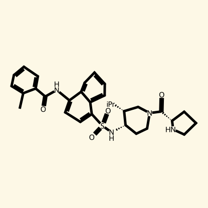 Cc1ccccc1C(=O)Nc1ccc(S(=O)(=O)N[C@H]2CCN(C(=O)[C@@H]3CCCN3)C[C@H]2C(C)C)c2ccccc12